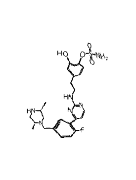 C[C@H]1CN(Cc2ccc(F)c(-c3ccnc(NCCc4ccc(OS(N)(=O)=O)c(O)c4)n3)c2)[C@@H](C)CN1